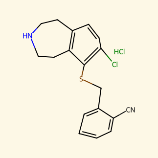 Cl.N#Cc1ccccc1CSc1c(Cl)ccc2c1CCNCC2